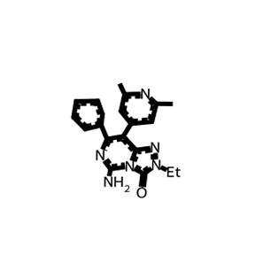 CCn1nc2c(-c3cc(C)nc(C)c3)c(-c3ccccc3)nc(N)n2c1=O